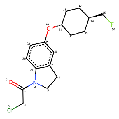 O=C(CCl)N1CCc2cc(O[C@H]3CC[C@H](CF)CC3)ccc21